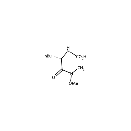 CCCC[C@H](NC(=O)O)C(=O)N(C)OC